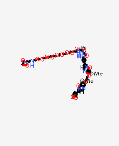 COc1cc2c(cc1OCCCOc1cc3c(cc1OC)C(=O)N1C=C(c4ccc5c(c4)OCO5)C[C@H]1C=N3)N=C[C@@H]1CC(c3ccc(NC(=O)[C@H](C)NC(=O)[C@@H](NC(=O)CCOCCOCCOCCOCCOCCOCCOCCOCCNCCCN4C(=O)C=CC4=O)C(C)C)cc3)=CN1C2=O